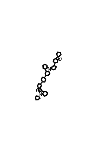 c1ccc(-n2c3ccccc3c3c4cc(-c5ccc(-c6ccc7c(c6)c6ccccc6n7-c6cccc(-c7ccc8c(c7)oc7ccccc78)c6)cc5)ccc4oc32)cc1